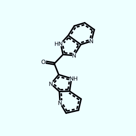 O=C(c1nc2ncccc2[nH]1)c1nc2ncccc2[nH]1